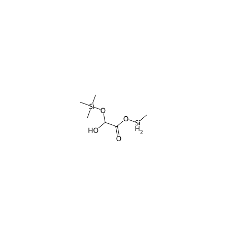 C[SiH2]OC(=O)C(O)O[Si](C)(C)C